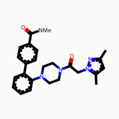 CNC(=O)c1ccc(-c2ccccc2N2CCN(C(=O)Cn3nc(C)cc3C)CC2)cc1